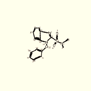 CN(C)S(=O)(=O)c1nc2ccccc2n1Oc1ccccc1